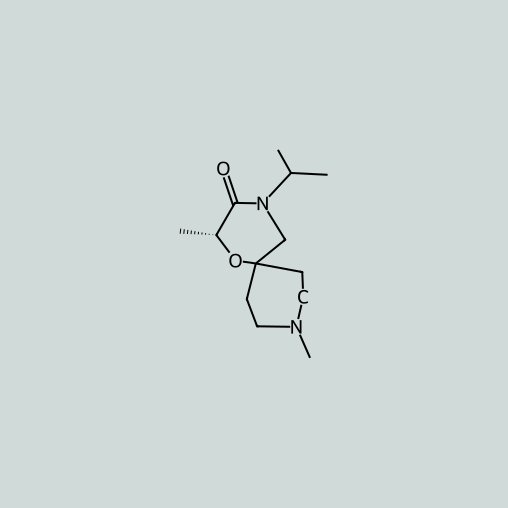 CC(C)N1CC2(CCN(C)CC2)O[C@H](C)C1=O